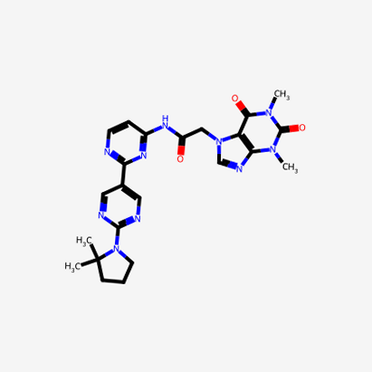 Cn1c(=O)c2c(ncn2CC(=O)Nc2ccnc(-c3cnc(N4CCCC4(C)C)nc3)n2)n(C)c1=O